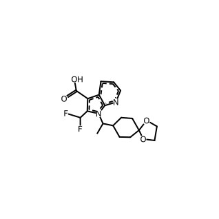 CC(C1CCC2(CC1)OCCO2)n1c(C(F)F)c(C(=O)O)c2cccnc21